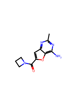 Cc1nc(N)c2oc(C(=O)N3CCC3)cc2n1